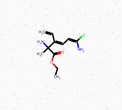 C=C/C(=C\C=C(/N)Cl)C(C)(N)C(=O)OCC